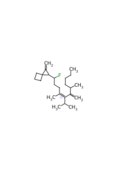 C=C(/C(=C(/C)CCC(F)C1C(=C)C12CCC2)C(C)C)C(C)CCCC